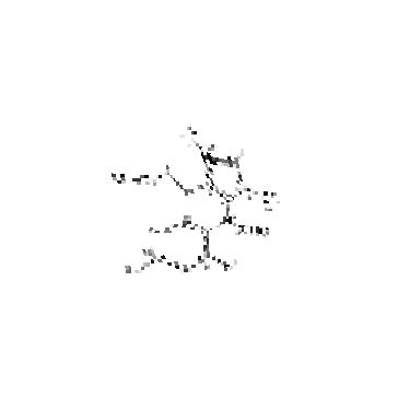 COCCc1c(N(C=O)c2ccc(F)cc2F)c(C(F)(F)F)nn1C